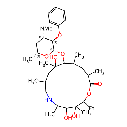 CCC1OC(=O)C(C)CC(C)C(O[C@@H]2O[C@H](C)C[C@H](NC)[C@H]2Oc2ccccc2)C(C)(O)CC(C)CNC(C)C(O)C1(C)O